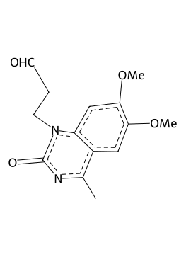 COc1cc2c(C)nc(=O)n(CCC=O)c2cc1OC